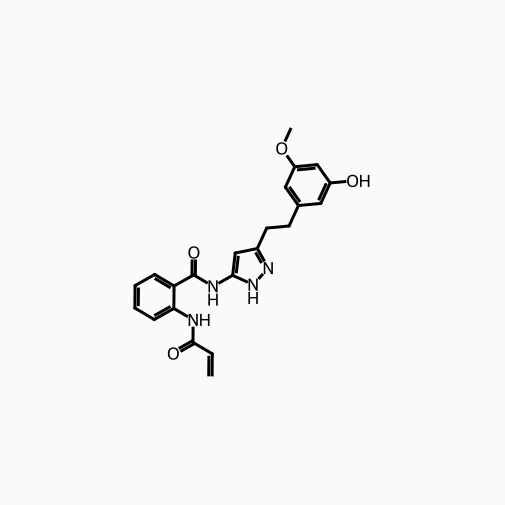 C=CC(=O)Nc1ccccc1C(=O)Nc1cc(CCc2cc(O)cc(OC)c2)n[nH]1